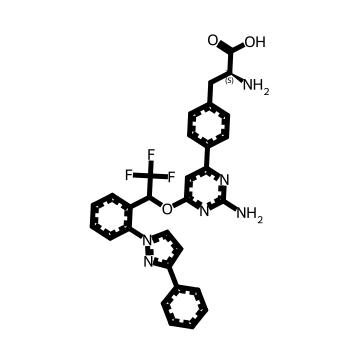 Nc1nc(OC(c2ccccc2-n2ccc(-c3ccccc3)n2)C(F)(F)F)cc(-c2ccc(C[C@H](N)C(=O)O)cc2)n1